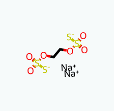 O=S(=O)([S-])OCCOS(=O)(=O)[S-].[Na+].[Na+]